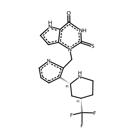 O=c1[nH]c(=S)n(Cc2ncccc2[C@H]2C[C@@H](C(F)(F)F)CCN2)c2cc[nH]c12